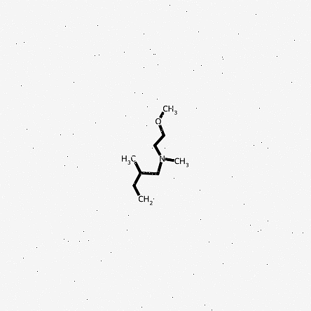 [CH2]CC(C)CN(C)CCOC